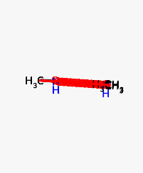 CCCCCCCCCCCCCCCCCCCCCC(=O)NCCOCCOCCOCCOCCOCCOCCOCCOCCOCCOCCOCCOCCOCCOCCOCCOCCOCCOCCOCCOCCOCCOCCOCCNC(=O)OC(C)(C)C